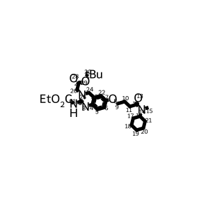 CCOC(=O)NC1=Nc2ccc(OCCCC(=O)N(C)C3CCCCC3)cc2CN1CC(=O)OC(C)(C)C